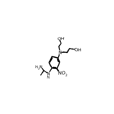 CC(N)Nc1ccc(N(CCO)CCO)cc1[N+](=O)[O-]